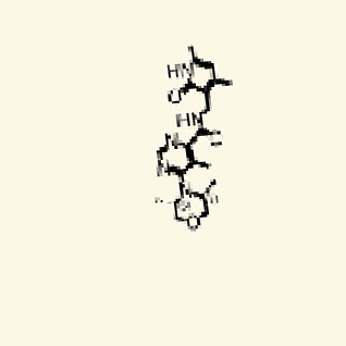 Cc1cc(C)c(CNC(=O)c2ncnc(N3[C@@H](C)COC[C@@H]3C)c2C)c(=O)[nH]1